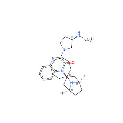 O=C(O)N[C@@H]1CCN(c2nc3ccccc3n([C@H]3C[C@H]4CC[C@@H](C3)N4C3CCCCCCC3)c2=O)C1